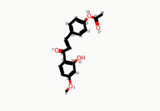 COc1ccc(C(=O)/C=C/c2ccc(OC(C)=O)cc2)c(O)c1